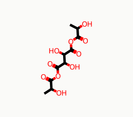 CC(O)C(=O)OC(=O)C(O)C(O)C(=O)OC(=O)C(C)O